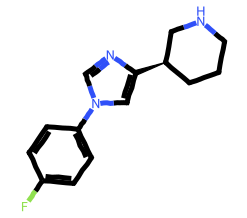 Fc1ccc(-n2cnc([C@@H]3CCCNC3)c2)cc1